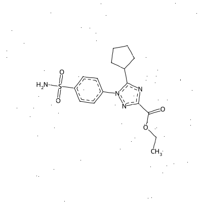 CCOC(=O)c1nc(C2CCCC2)n(-c2ccc(S(N)(=O)=O)cc2)n1